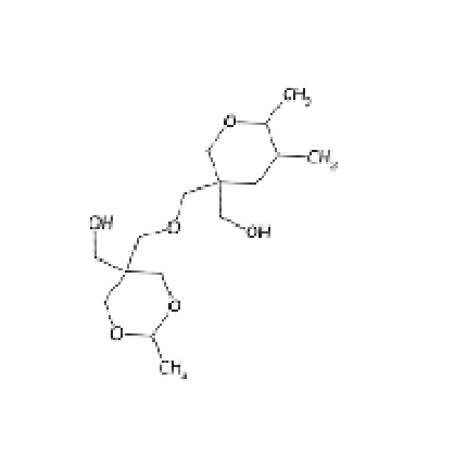 CC1OCC(CO)(COCC2(CO)COC(C)C(C)C2)CO1